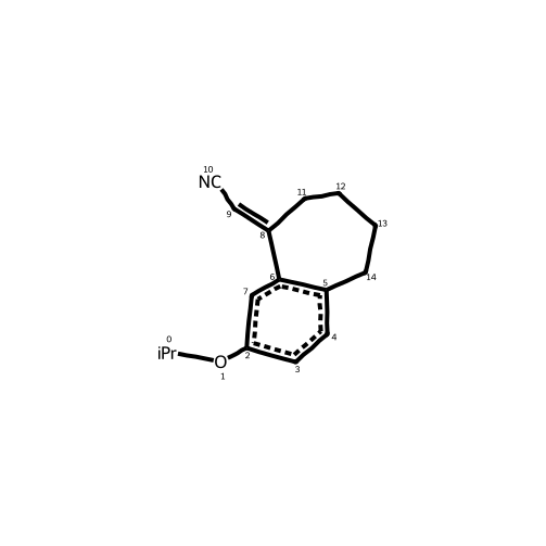 CC(C)Oc1ccc2c(c1)C(=CC#N)CCCC2